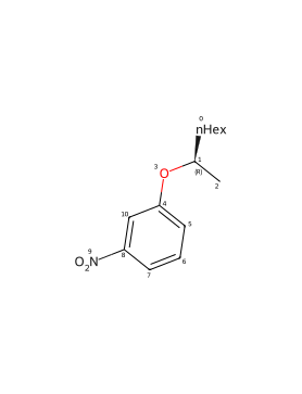 CCCCCC[C@@H](C)Oc1cccc([N+](=O)[O-])c1